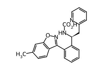 Cc1ccc2c(-c3ccccc3[C@H](Cc3ccccn3)NC(=O)O)noc2c1